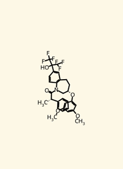 COc1cc(OC)cc(O[C@H]2CCc3cc(C(O)(C(F)(F)F)C(F)(F)F)ccc3N(C(=O)[C@@H](C)c3ccccc3)C2)c1